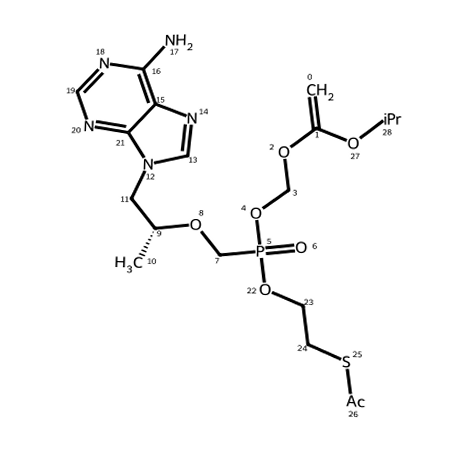 C=C(OCOP(=O)(CO[C@H](C)Cn1cnc2c(N)ncnc21)OCCSC(C)=O)OC(C)C